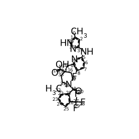 Cc1cc(Nc2ccc(F)c(C[C@@]3(C(=O)O)CCN(C(=O)c4ccccc4C(F)(F)F)[C@H](C)C3)n2)n[nH]1